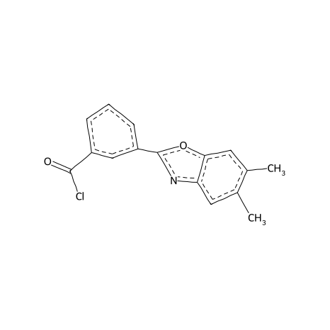 Cc1cc2nc(-c3cccc(C(=O)Cl)c3)oc2cc1C